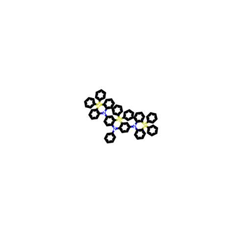 c1ccc(N2c3ccc(N4c5ccccc5S(c5ccccc5)(c5ccccc5)c5ccccc54)cc3S(c3ccccc3)(c3ccccc3)c3cc(N4c5ccccc5S(c5ccccc5)(c5ccccc5)c5ccccc54)ccc32)cc1